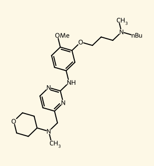 CCCCN(C)CCCOc1cc(Nc2nccc(CN(C)C3CCOCC3)n2)ccc1OC